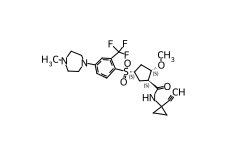 C#CC1(NC(=O)[C@H]2C[C@H](S(=O)(=O)c3ccc(N4CCN(C)CC4)cc3C(F)(F)F)C[C@@H]2OC)CC1